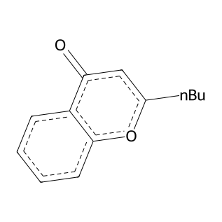 [CH2]CCCc1cc(=O)c2ccccc2o1